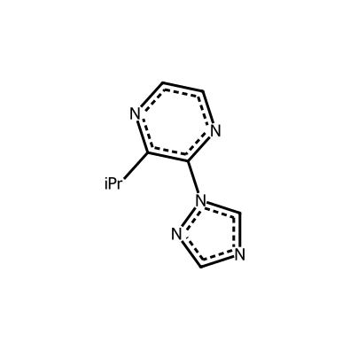 CC(C)c1nccnc1-n1cncn1